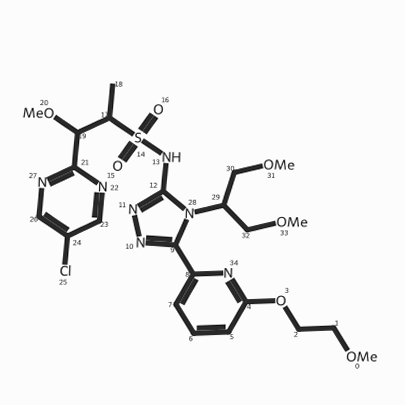 COCCOc1cccc(-c2nnc(NS(=O)(=O)C(C)C(OC)c3ncc(Cl)cn3)n2C(COC)COC)n1